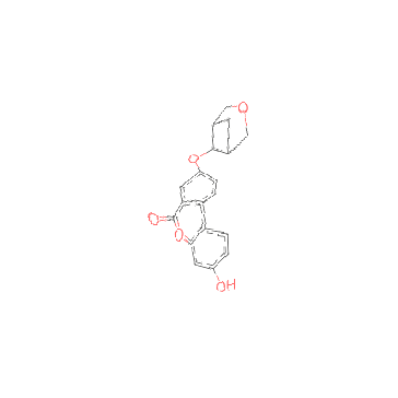 O=c1oc2cc(O)ccc2c2ccc(OC3C4COCC3C4)cc12